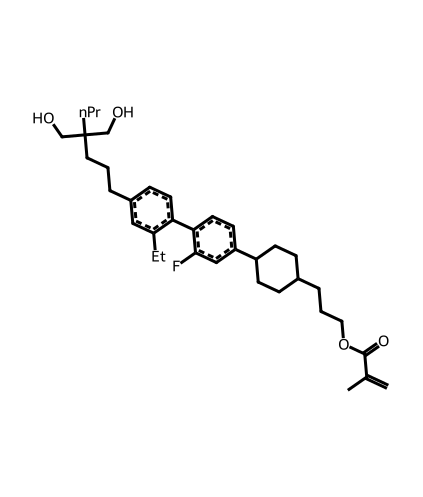 C=C(C)C(=O)OCCCC1CCC(c2ccc(-c3ccc(CCCC(CO)(CO)CCC)cc3CC)c(F)c2)CC1